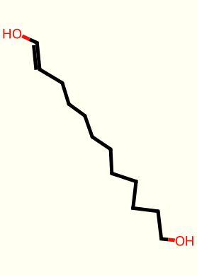 O/C=C/CCCCCCCCCCO